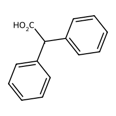 O=C(O)[C](c1ccccc1)c1ccccc1